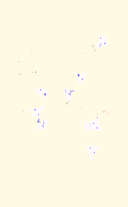 CCN(CC)C(C)CNC(=O)c1cc(-c2cnn3ccc(-c4cccs4)nc23)nc(N2CC[C@@H](C#N)C2)c1